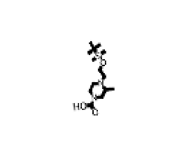 CC1CN(C(=O)O)CCN1CCO[Si](C)(C)C(C)(C)C